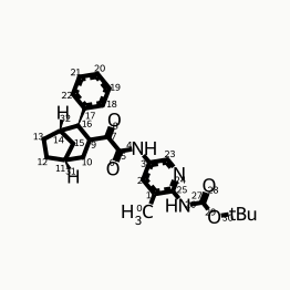 Cc1cc(NC(=O)C(=O)C2C[C@@H]3CC[C@@H](C3)[C@H]2c2ccccc2)cnc1NC(=O)OC(C)(C)C